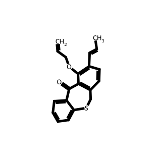 C=CCOc1c(/C=C/C)ccc2c1C(=O)c1ccccc1SC2